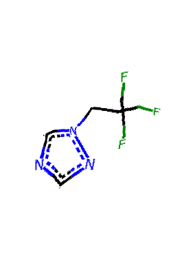 FC(F)(F)Cn1[c]n[c]n1